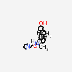 CC(=NOCCN1CCCC1)[C@H]1CC[C@H]2[C@@H]3CC=C4CC(O)CC[C@]4(C)[C@H]3CC[C@]12C